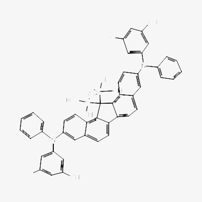 Cc1cc(C)cc(N(c2ccccc2)c2ccc3c4c(ccc3c2)-c2ccc3cc(N(c5ccccc5)c5cc(C)cc(C)c5)ccc3c2C4([Si](C)(C)C)[Si](C)(C)C)c1